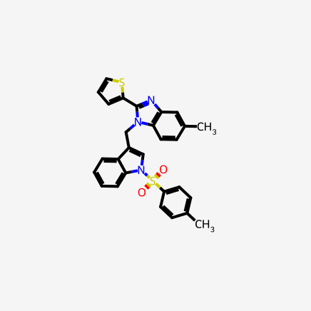 Cc1ccc(S(=O)(=O)n2cc(Cn3c(-c4cccs4)nc4cc(C)ccc43)c3ccccc32)cc1